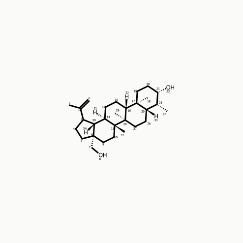 C=C(C)C1CC[C@]2(CO)CC[C@]3(C)[C@H](CC[C@@H]4[C@@]5(C)CC[C@H](O)[C@H](C)[C@@H]5CC[C@]43C)[C@@H]12